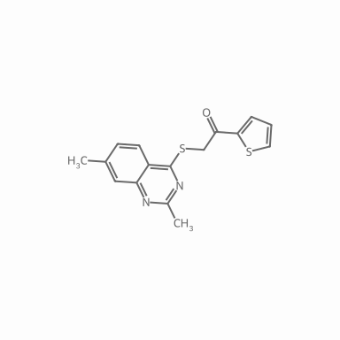 Cc1ccc2c(SCC(=O)c3cccs3)nc(C)nc2c1